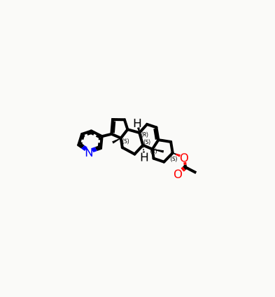 CC(=O)O[C@H]1CC[C@@]2(C)C(=CC[C@H]3C4CC=C(c5cccnc5)[C@@]4(C)CC[C@@H]32)C1